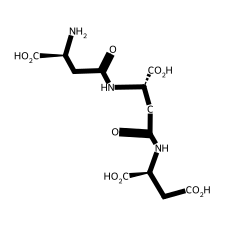 N[C@@H](CC(=O)N[C@@H](CC(=O)N[C@@H](CC(=O)O)C(=O)O)C(=O)O)C(=O)O